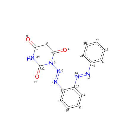 O=C1CC(=O)N(/N=N/c2ccccc2/N=N/c2ccccc2)C(=O)N1